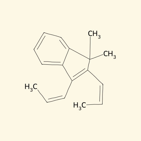 C/C=C\C1=C(/C=C\C)C(C)(C)c2ccccc21